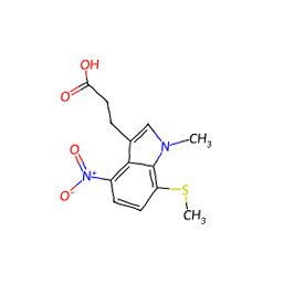 CSc1ccc([N+](=O)[O-])c2c(CCC(=O)O)cn(C)c12